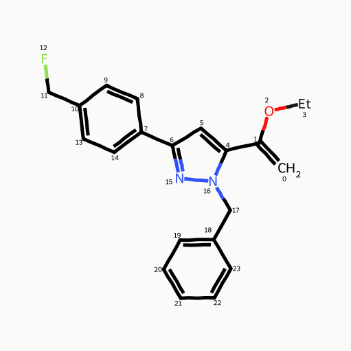 C=C(OCC)c1cc(-c2ccc(CF)cc2)nn1Cc1ccccc1